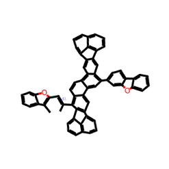 C/C(=C\c1oc2ccccc2c1C)c1c2c(cc3c1ccc1c4cc5c(cc4c(-c4ccc6c(c4)oc4ccccc46)cc31)-c1cccc3cccc-5c13)-c1cccc3cccc-2c13